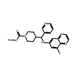 CC(C)(C)OC(=O)N1CCC(C(Nc2cc(Cl)c3nccnc3c2)c2cccnc2)CC1